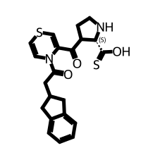 O=C(C1=CSC=CN1C(=O)CC1Cc2ccccc2C1)C1CCN[C@@H]1C(O)=S